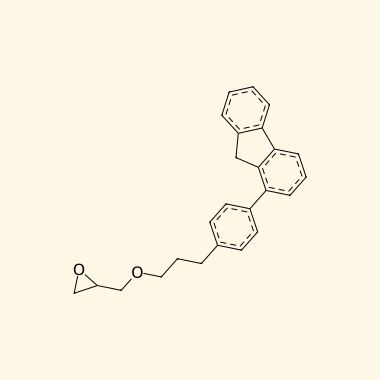 c1ccc2c(c1)Cc1c(-c3ccc(CCCOCC4CO4)cc3)cccc1-2